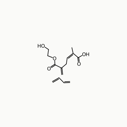 C=C(CC=C(C)C(=O)O)C(=O)OCCO.C=CC=C